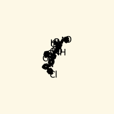 CC1(C)CCC(CN2CCN(c3ccc(C(=O)NS(=O)(=O)c4ccc(NCCN5CCOCC5)c([N+](=O)[O-])c4)c(Oc4cccc(Cl)c4F)c3)CC2)=C(c2ccc(Cl)cc2)C1